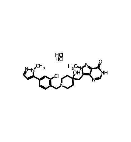 Cl.Cl.Cn1nccc1-c1ccc(CN2CCC(O)(Cc3c4nc[nH]c(=O)c4nn3C)CC2)c(Cl)c1